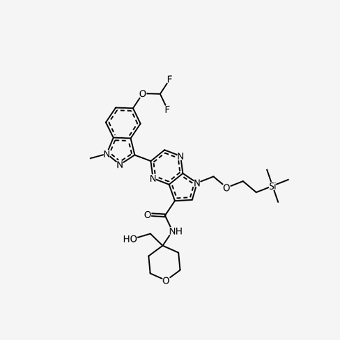 Cn1nc(-c2cnc3c(n2)c(C(=O)NC2(CO)CCOCC2)cn3COCC[Si](C)(C)C)c2cc(OC(F)F)ccc21